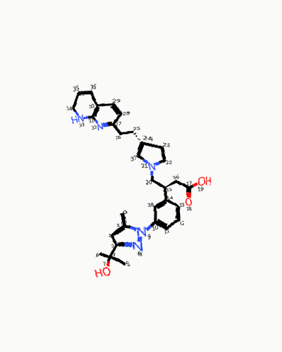 Cc1cc(C(C)(C)O)nn1-c1cccc([C@H](CC(=O)O)CN2CC[C@@H](CCc3ccc4c(n3)NCCC4)C2)c1